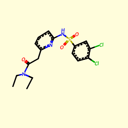 CCN(CC)C(=O)Cc1cccc(NS(=O)(=O)c2ccc(Cl)c(Cl)c2)n1